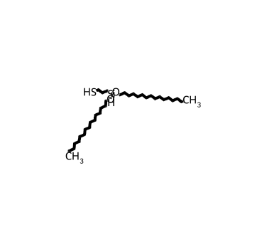 CCCCCCCCCCCCCCCCO[SiH](CCCS)OCCCCCCCCCCCCCCCC